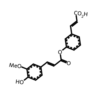 COc1cc(C=CC(=O)Oc2cccc(C=CC(=O)O)c2)ccc1O